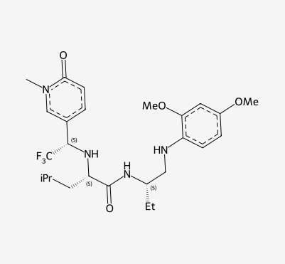 CC[C@@H](CNc1ccc(OC)cc1OC)NC(=O)[C@H](CC(C)C)N[C@@H](c1ccc(=O)n(C)c1)C(F)(F)F